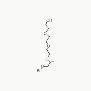 CCOCC(C)OCCOCCOCCO